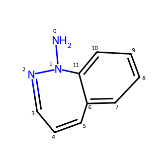 NN1N=CC=Cc2ccccc21